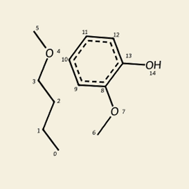 CCCCOC.COc1ccccc1O